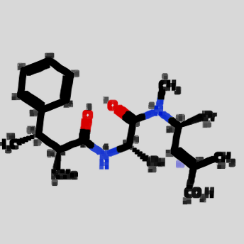 CN[C@H](C(=O)N[C@H](C(=O)N(C)[C@H](/C=C(\C)C(=O)O)C(C)C)C(C)(C)C)[C@H](C)c1ccccc1